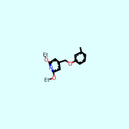 CCOc1cc(COc2cccc(C)c2)cc(OCC)n1